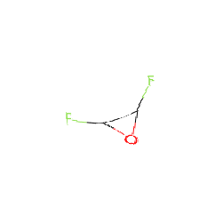 FC1OC1F